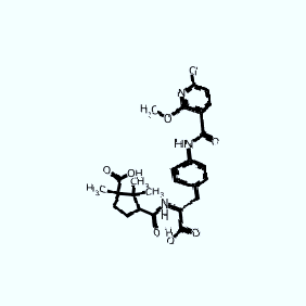 COc1nc(Cl)ccc1C(=O)Nc1ccc(C[C@H](NC(=O)C2CCC(C)(C(=O)O)C2(C)C)C(=O)O)cc1